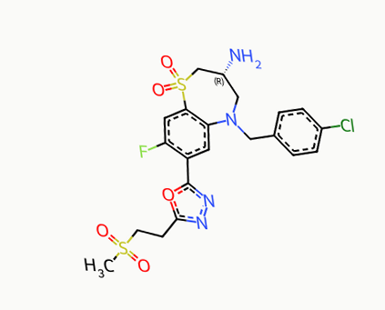 CS(=O)(=O)CCc1nnc(-c2cc3c(cc2F)S(=O)(=O)C[C@H](N)CN3Cc2ccc(Cl)cc2)o1